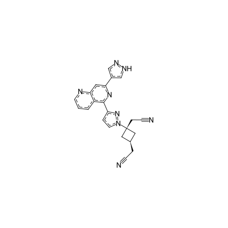 N#CC[C@H]1C[C@](CC#N)(n2ccc(-c3nc(-c4cn[nH]c4)cc4ncccc34)n2)C1